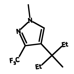 CCC(C)(CC)c1cn(C)nc1C(F)(F)F